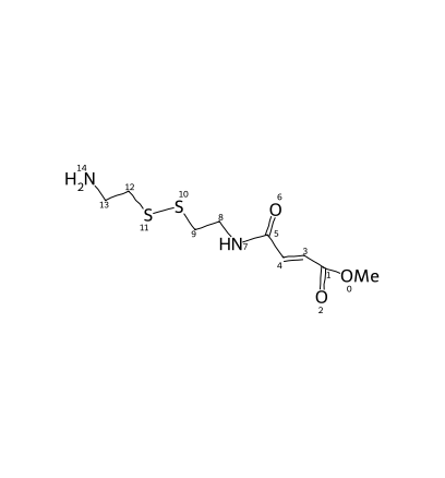 COC(=O)C=CC(=O)NCCSSCCN